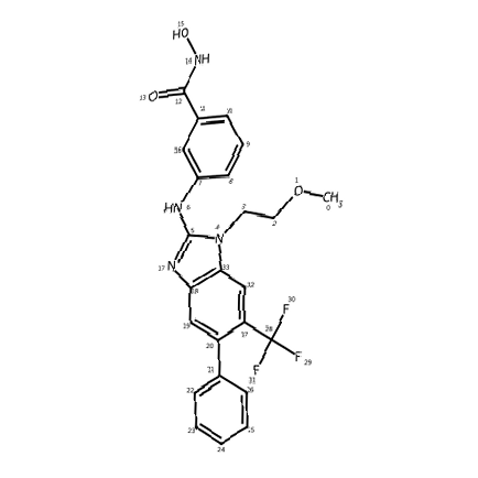 COCCn1c(Nc2cccc(C(=O)NO)c2)nc2cc(-c3ccccc3)c(C(F)(F)F)cc21